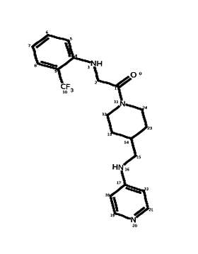 O=C(CNc1ccccc1C(F)(F)F)N1CCC(CNc2ccncc2)CC1